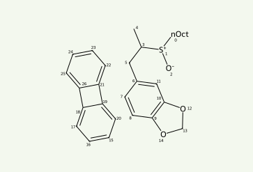 CCCCCCCC[S+]([O-])C(C)Cc1ccc2c(c1)OCO2.c1ccc2c(c1)-c1ccccc1-2